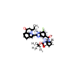 CCC1CC(=O)c2cccc3cc(-c4nc5cc(C(=O)N6C[C@H]7CC[C@@H]6[C@@H]7NC(=O)OC(C)(C)C)cc(F)c5n4C)n1c23